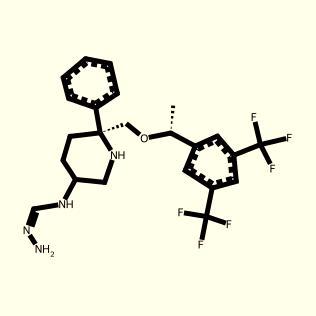 C[C@@H](OC[C@@]1(c2ccccc2)CCC(N/C=N\N)CN1)c1cc(C(F)(F)F)cc(C(F)(F)F)c1